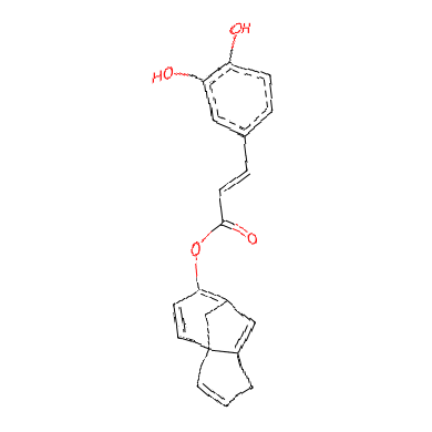 O=C(C=Cc1ccc(O)c(O)c1)OC1=C2C=C3CC=CC3(C=C1)C2